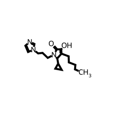 CCCCCC1=C(O)C(=O)N(CCCn2ccnc2)C1C1CC1